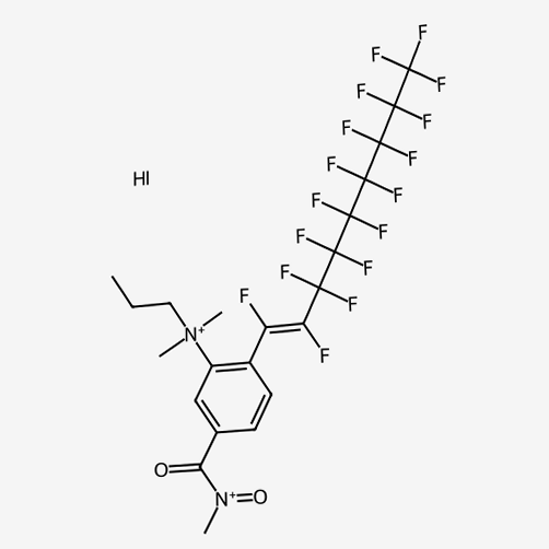 CCC[N+](C)(C)c1cc(C(=O)[N+](C)=O)ccc1C(F)=C(F)C(F)(F)C(F)(F)C(F)(F)C(F)(F)C(F)(F)C(F)(F)C(F)(F)F.I